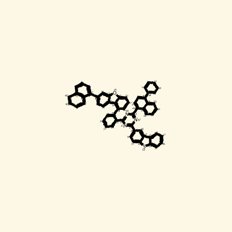 C1=Cc2c(cccc2-c2ccc3c(c2)oc2cccc(-c4ccccc4-c4nc(-c5ccc6sc7ccccc7c6c5)nc(-c5ccc(-c6ccccc6)c6ccccc56)n4)c23)CC1